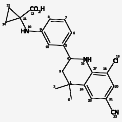 CC1(C)CC(c2cccc(NC3(C(=O)O)CC3)c2)Nc2c(Cl)cc(C#N)cc21